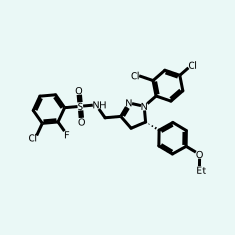 CCOc1ccc([C@@H]2CC(CNS(=O)(=O)c3cccc(Cl)c3F)=NN2c2ccc(Cl)cc2Cl)cc1